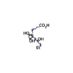 CC/C=C\C[C@H](O)/C=C/[C@H]1[C@@H](C/C=C\CCCC(=O)O)[C@@H](O)C[C@H]1O